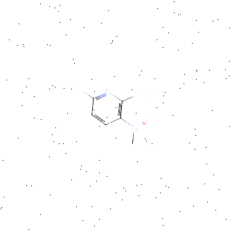 C[N+](=O)c1ccc(S)nc1C(=O)O